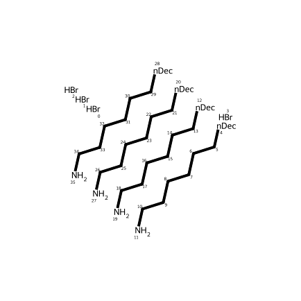 Br.Br.Br.Br.CCCCCCCCCCCCCCCCN.CCCCCCCCCCCCCCCCN.CCCCCCCCCCCCCCCCN.CCCCCCCCCCCCCCCCN